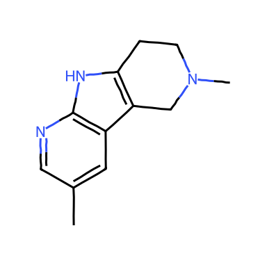 Cc1cnc2[nH]c3c(c2c1)CN(C)CC3